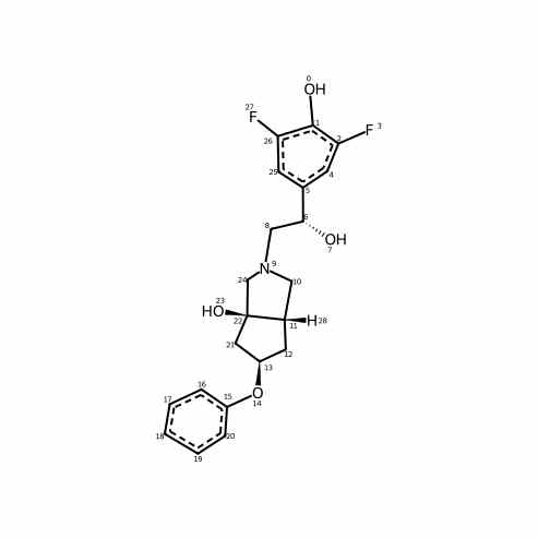 Oc1c(F)cc([C@H](O)CN2C[C@@H]3C[C@@H](Oc4ccccc4)C[C@]3(O)C2)cc1F